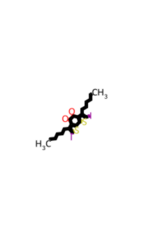 CCCCCCc1c(I)sc2c1C(=O)C(=O)c1c-2sc(I)c1CCCCCC